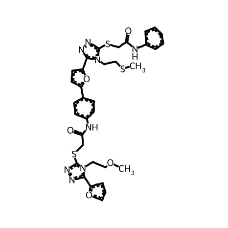 COCCn1c(SCC(=O)Nc2ccc(-c3ccc(-c4nnc(SCC(=O)Nc5ccccc5)n4CCSC)o3)cc2)nnc1-c1ccco1